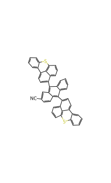 N#Cc1ccc2c(-c3ccc4c5c(cccc35)Sc3ccccc3-4)c3ccccc3c(-c3ccc4c5c(cccc35)Sc3ccccc3-4)c2c1